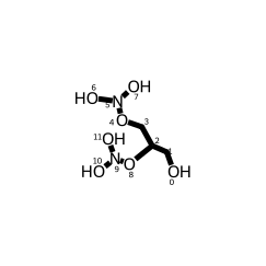 OCC(CON(O)O)ON(O)O